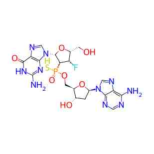 Nc1nc2c(ncn2[C@@H]2O[C@H](CO)[C@@H](F)[C@H]2P(=O)(S)OC[C@H]2O[C@@H](n3cnc4c(N)ncnc43)C[C@@H]2O)c(=O)[nH]1